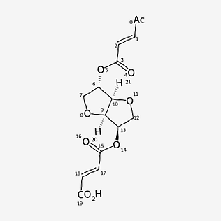 CC(=O)/C=C/C(=O)O[C@H]1CO[C@H]2[C@@H]1OC[C@H]2OC(=O)/C=C/C(=O)O